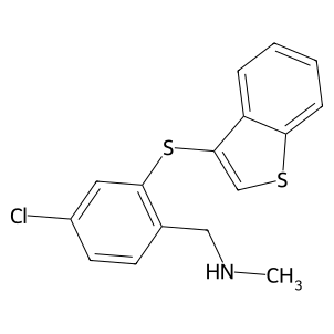 CNCc1ccc(Cl)cc1Sc1csc2ccccc12